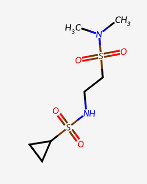 CN(C)S(=O)(=O)CCNS(=O)(=O)C1CC1